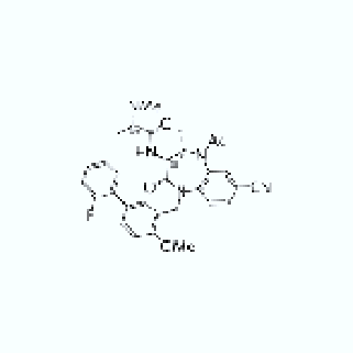 CN[C@@H](C)C(=O)N[C@@H]1C(=O)N(Cc2cc(-c3ccccc3F)ccc2OC)c2ccc(C#N)cc2N(C(C)=O)[C@H]1C